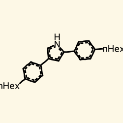 CCCCCCc1ccc(-c2c[nH]c(-c3ccc(CCCCCC)cc3)c2)cc1